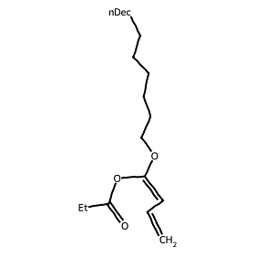 C=CC=C(OCCCCCCCCCCCCCCCC)OC(=O)CC